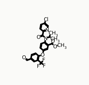 COC(=O)c1cc(Oc2ccc(C=O)cc2C(F)(F)F)ccc1N(C(=O)c1ccc(Cl)cn1)C(C)C